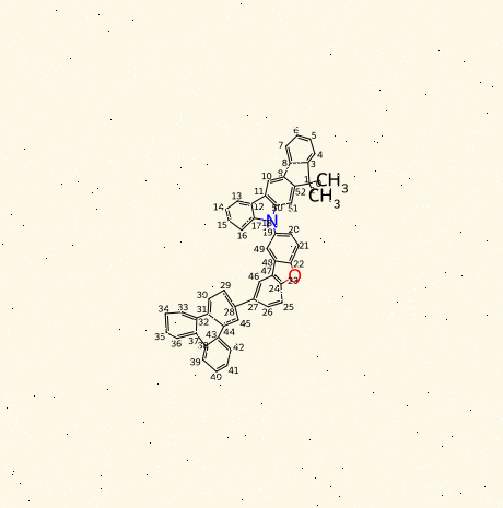 CC1(C)c2ccccc2-c2cc3c4ccccc4n(-c4ccc5oc6ccc(-c7ccc8c9ccccc9c9ccccc9c8c7)cc6c5c4)c3cc21